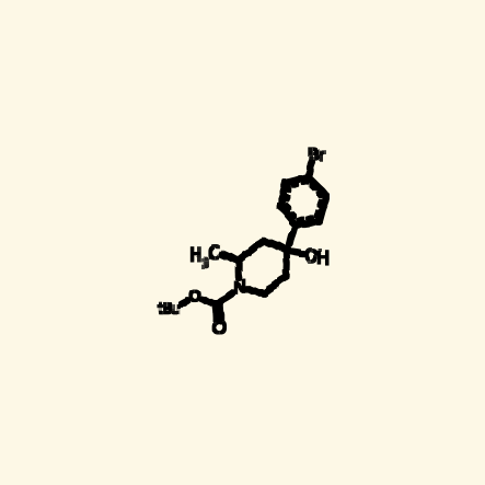 CC1CC(O)(c2ccc(Br)cc2)CCN1C(=O)OC(C)(C)C